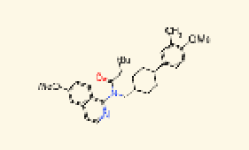 COc1ccc2c(N(C[C@H]3CC[C@H](c4ccc(OC)c(C)c4)CC3)C(=O)CC(C)(C)C)nccc2c1